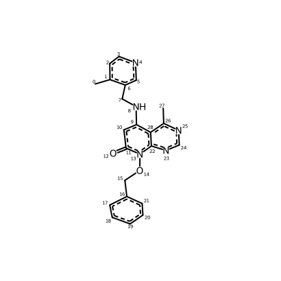 Cc1ccncc1CNc1cc(=O)n(OCc2ccccc2)c2ncnc(C)c12